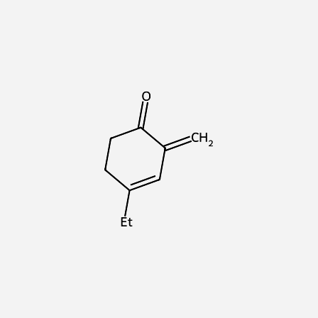 C=C1C=C(CC)CCC1=O